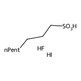 CCCCCCCCS(=O)(=O)O.F.I